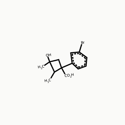 CC1C(C)(O)CC1(C(=O)O)c1cccc(Br)c1